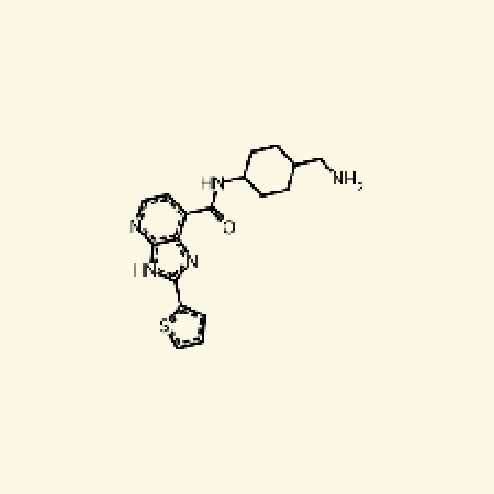 NCC1CCC(NC(=O)c2ccnc3[nH]c(-c4cccs4)nc23)CC1